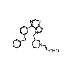 O=CC=CN1CCCC(Cn2ccc3ncnc(-c4cccc(Oc5ccccc5)c4)c32)C1